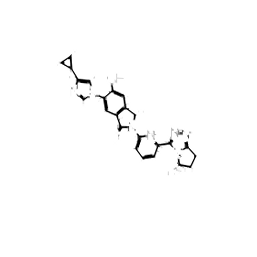 Cc1cc2c(cc1-n1cnc(C3CC3)c1)C(=O)N(c1cccc(-c3nnc4n3[C@H](C(F)(F)F)CC4)n1)C2